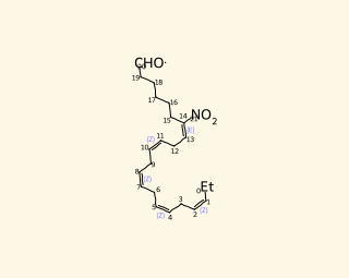 CC/C=C\C/C=C\C/C=C\C/C=C\C/C=C(\CCCCC[C]=O)[N+](=O)[O-]